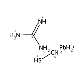 N#CS.N=C(N)N.[PbH2]